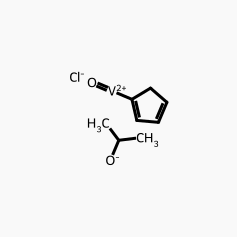 CC(C)[O-].[Cl-].[O]=[V+2][C]1=CC=CC1